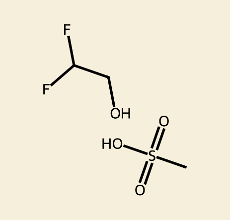 CS(=O)(=O)O.OCC(F)F